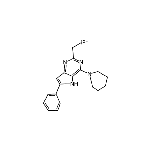 CC(C)Cc1nc(N2CCCCC2)c2[nH]c(-c3ccccc3)cc2n1